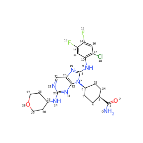 NC(=O)[C@H]1CC[C@@H](n2c(Nc3cc(F)c(F)cc3Cl)nc3cnc(NC4CCOCC4)nc32)CC1